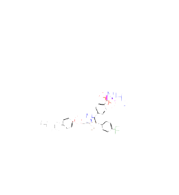 Cc1ccc(OCc2nc(-c3ccc(S(N)(=O)=O)cc3)c(-c3ccc(F)cc3)s2)cc1